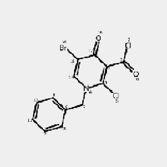 O=C(Cl)c1c(Cl)n(Cc2ccccc2)cc(Br)c1=O